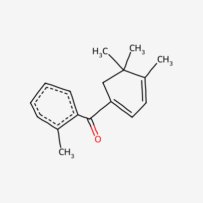 CC1=CC=C(C(=O)c2ccccc2C)CC1(C)C